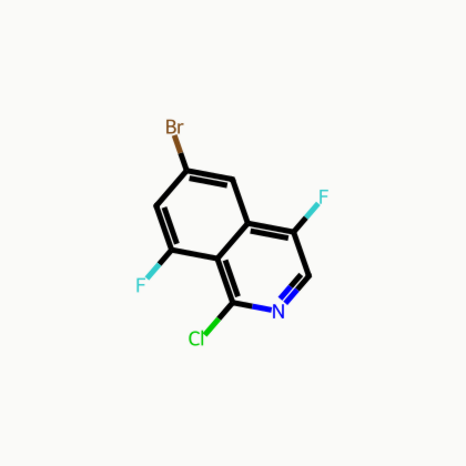 Fc1cnc(Cl)c2c(F)cc(Br)cc12